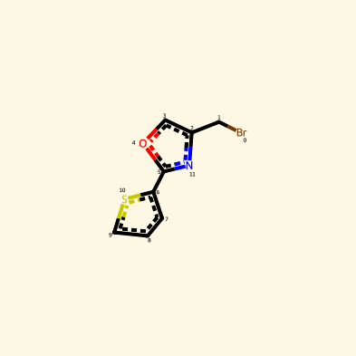 BrCc1coc(-c2cccs2)n1